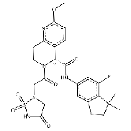 COc1ccc2c(n1)CCN(C(=O)CN1CC(=O)NS1(=O)=O)[C@H]2C(=O)Nc1cc(F)c2c(c1)CCC2(C)C